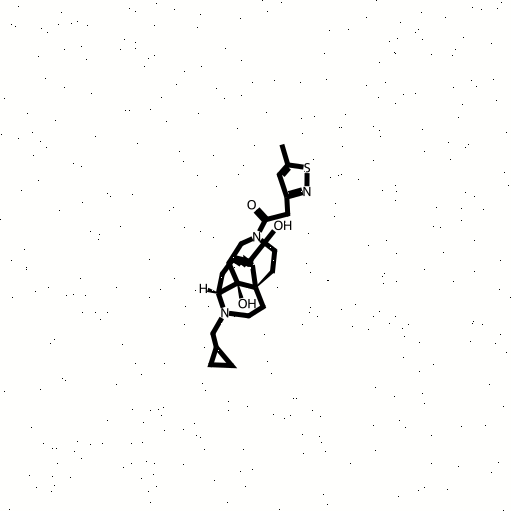 Cc1cc(CC(=O)N2CC[C@]34CCN(CC5CC5)[C@H](Cc5ccc(O)cc53)[C@]4(O)CC2)ns1